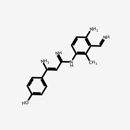 Cc1c(NC(=N)/C=C(\N)c2ccc(O)cc2)ccc(N)c1C=N